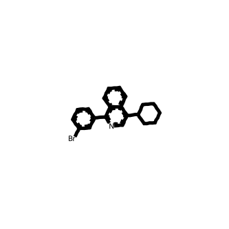 Brc1cccc(-c2ncc(C3CCCCC3)c3ccccc23)c1